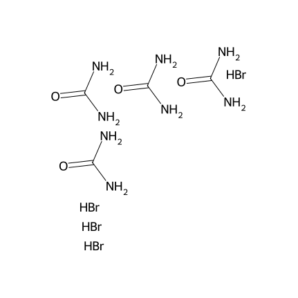 Br.Br.Br.Br.NC(N)=O.NC(N)=O.NC(N)=O.NC(N)=O